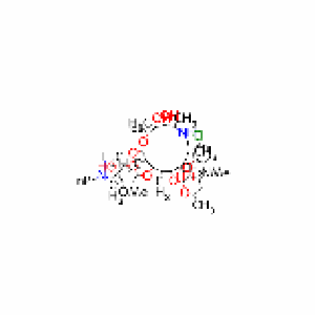 CCCNC[C@]1(O)[C@H](C)O[C@@H](OC2C(C)C(=O)OC(CC)C(C)(O)C(O)C(C)NCC(C)CC(C)(O)C(O[C@@H]3O[C@H](C)C[C@H](NC)[C@H]3Oc3cccc(Cl)c3)C2C)C[C@@]1(C)OC